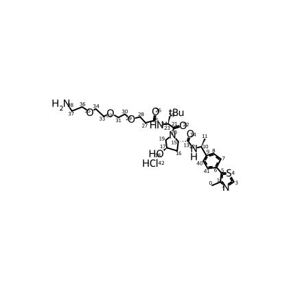 Cc1ncsc1-c1ccc([C@H](C)NC(=O)[C@@H]2C[C@@H](O)CN2C(=O)[C@@H](NC(=O)CCOCCOCCOCCN)C(C)(C)C)cc1.Cl